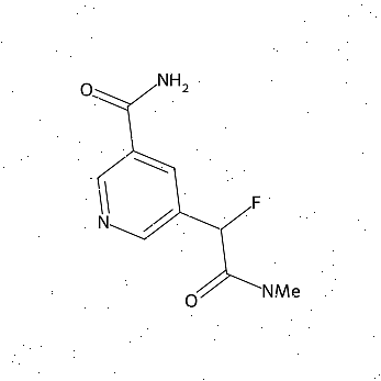 CNC(=O)C(F)c1cncc(C(N)=O)c1